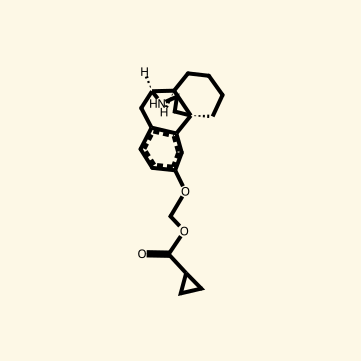 O=C(OCOc1ccc2c(c1)[C@]13CCCC[C@@H]1[C@H](C2)NCC3)C1CC1